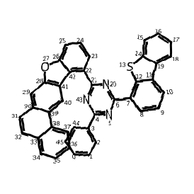 c1ccc(-c2nc(-c3cccc4c3sc3ccccc34)nc(-c3cccc4oc5cc6ccc7ccccc7c6cc5c34)n2)cc1